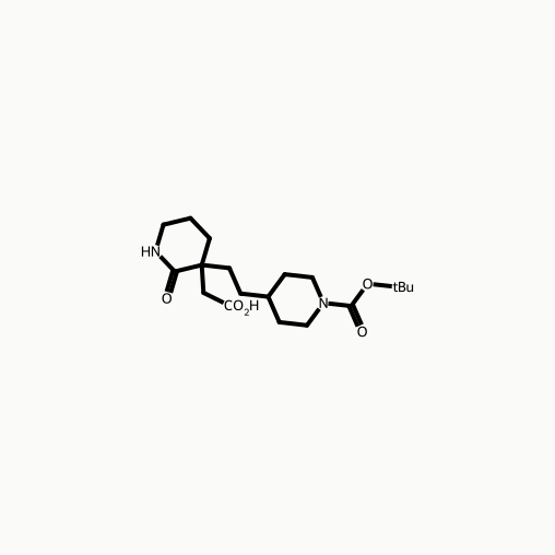 CC(C)(C)OC(=O)N1CCC(CCC2(CC(=O)O)CCCNC2=O)CC1